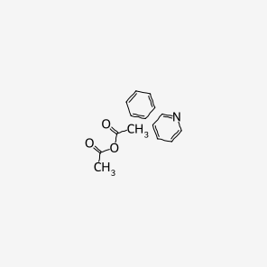 CC(=O)OC(C)=O.c1ccccc1.c1ccncc1